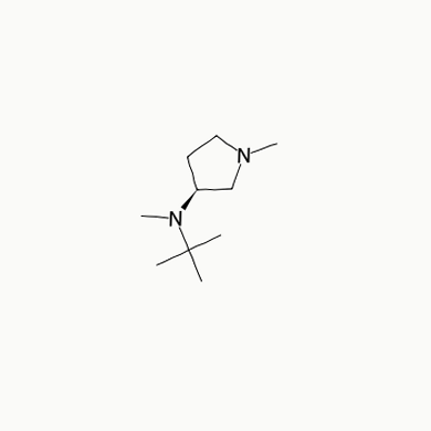 CN1CC[C@H](N(C)C(C)(C)C)C1